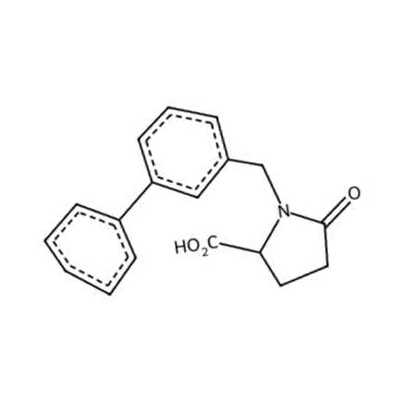 O=C(O)C1CCC(=O)N1Cc1cccc(-c2ccccc2)c1